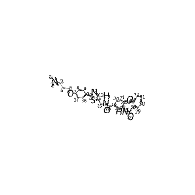 CN(C)CCCOc1ccc(-c2ncc(CNC(=O)c3ccc4c(c3)NC(=O)c3ccccc3O4)s2)cc1